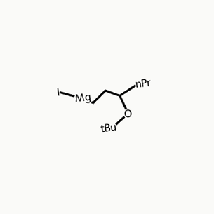 CCCC(C[CH2][Mg][I])OC(C)(C)C